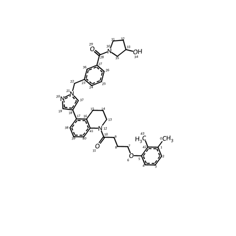 Cc1cccc(OCCCC(=O)N2CCCc3c(-c4cnn(Cc5cccc(C(=O)N6CCC(O)C6)c5)c4)cccc32)c1C